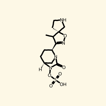 CC1C([C@@H]2CC[C@H]3CN2C(=O)N3OS(=O)(=O)O)=NO[C@@]12CCNC2